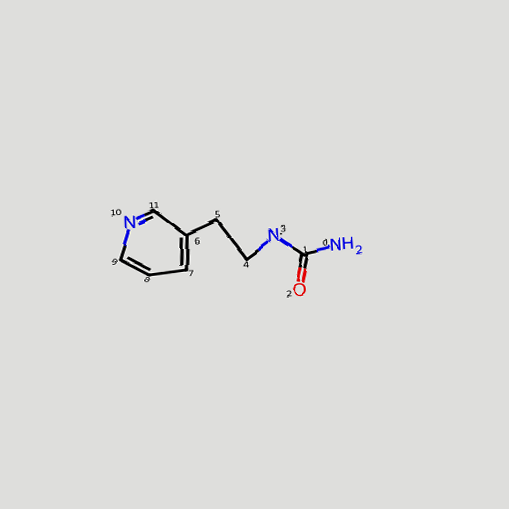 NC(=O)[N]CCc1cccnc1